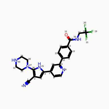 N#Cc1cc(-c2ccnc(-c3ccc(C(=O)NCC(F)(F)F)cc3)c2)[nH]c1N1CCNCC1